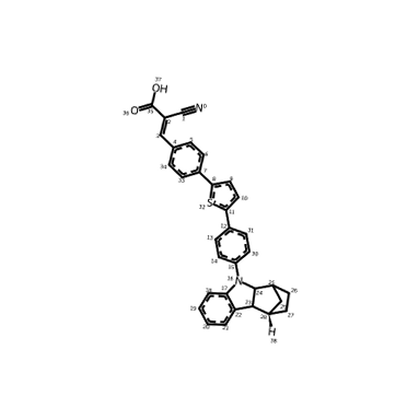 N#C/C(=C\c1ccc(-c2ccc(-c3ccc(N4c5ccccc5C5C4C4CC[C@H]5C4)cc3)s2)cc1)C(=O)O